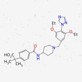 CCOc1cc(CN2CCC(NC(=O)c3ccc(C(C)(C)C(=O)O)cc3)CC2)cc(OCC)c1-n1cncn1